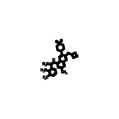 Cc1nc(N[C@H](C)c2cccc(C(F)(F)F)c2C)c2cc(C3CCS(=O)(=O)CC3)c(OC3COC3)nc2n1